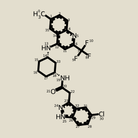 Cc1ccc2nc(C(F)(F)F)cc(N[C@H]3CCC[C@@H](NC(=O)Cc4n[nH]c5ccc(Cl)cc45)C3)c2c1